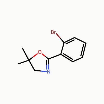 CC1(C)CN=C(c2ccccc2Br)O1